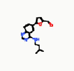 CC(C)CCNc1ncnc2ccc(-c3ccc(C=O)o3)cc12